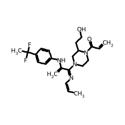 C=CC(=O)N1CCN(/C(=N/C=C\C)C(=C)Nc2ccc(C(C)(F)F)cc2)CC1CCO